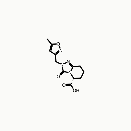 Cc1cc(Cn2nc3n(c2=O)[C@@H](C(=O)O)CCC3)no1